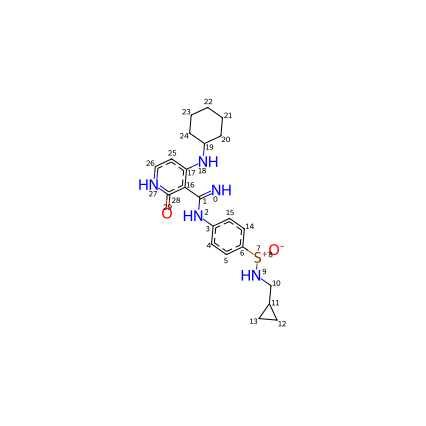 N=C(Nc1ccc([S+]([O-])NCC2CC2)cc1)c1c(NC2CCCCC2)cc[nH]c1=O